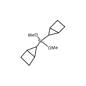 CO[Si](OC)(C1C2CCC21)C1C2CCC21